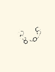 O=C1CCC(N2Cc3c(OCc4ccc(CN5CCc6ncccc6C5)cc4)cccc3C2=O)C(=O)N1